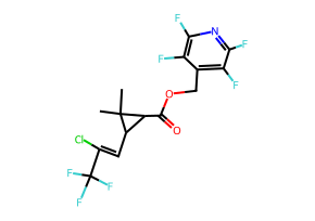 CC1(C)C(/C=C(\Cl)C(F)(F)F)C1C(=O)OCc1c(F)c(F)nc(F)c1F